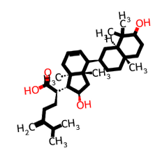 C=C(CC[C@@H](C(=O)O)[C@H]1[C@H](O)C[C@@]2(C)C([C@@H]3CC[C@@]4(C)CCC(O)C(C)(C)[C@@H]4C3)C=CC[C@]12C)C(C)C